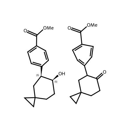 COC(=O)c1ccc(C2CC3(CCC2=O)CC3)cc1.COC(=O)c1ccc([C@@H]2CC3(CC[C@@H]2O)CC3)cc1